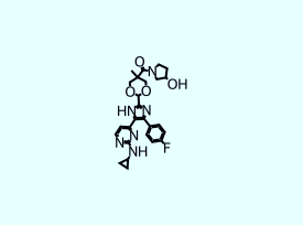 CC1(C(=O)N2CCC(O)C2)COC(c2nc(-c3ccc(F)cc3)c(-c3ccnc(NC4CC4)n3)[nH]2)OC1